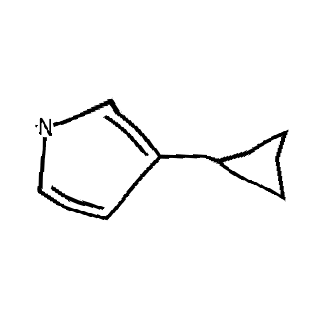 C1=CC(C2CC2)=C[N]1